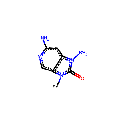 CCn1c(=O)n(N)c2cc(N)ncc21